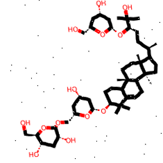 C[C@H](CC[C@@H](O[C@H]1C[C@@H](O)C[C@@H](CO)O1)C(C)(C)O)C1CC[C@@]2(C)C3CC=C4C(CC[C@H](O[C@H]5C[C@@H](O)C[C@@H](COC6O[C@H](CO)[C@@H](O)C[C@H]6O)O5)C4(C)C)[C@]3(C)CC[C@]12C